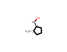 C[C@H]1CCC[C@@H]1BO